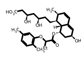 CCC(Oc1cc(C)ccc1C)C(=O)O[C@H]1C[C@H](O)C=C2C=C[C@H](C)[C@H](CC[C@@H](O)C[C@@H](O)CC(=O)O)[C@H]21